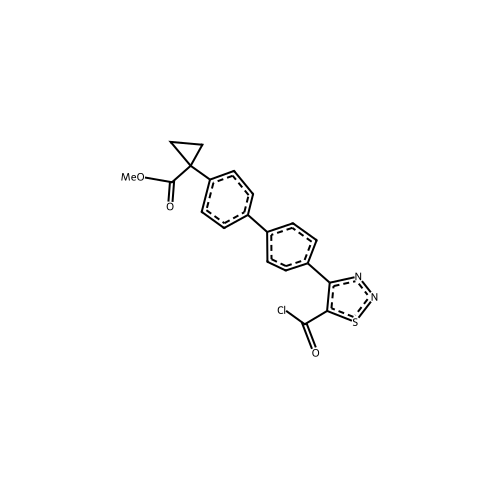 COC(=O)C1(c2ccc(-c3ccc(-c4nnsc4C(=O)Cl)cc3)cc2)CC1